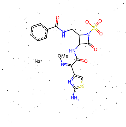 CON=C(C(=O)NC1C(=O)N(S(=O)(=O)[O-])C1CNC(=O)c1ccccc1)c1csc(N)n1.[Na+]